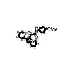 COc1ccc(NC(=O)C(=O)c2c(-c3ccccn3)cc3ccccn23)cc1